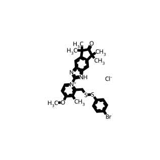 COc1cc[n+](-c2nc3cc4c(cc3[nH]2)C(C)(C)C(=O)C4(C)C)c(CSSc2ccc(Br)cc2)c1C.[Cl-]